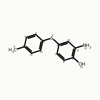 Cc1ccc(Sc2ccc(O)c(N)c2)cc1